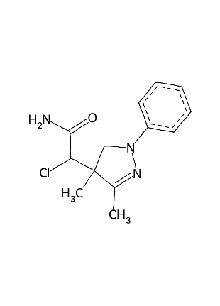 CC1=NN(c2ccccc2)CC1(C)C(Cl)C(N)=O